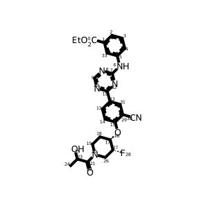 CCOC(=O)c1cccc(Nc2ncnc(-c3ccc(O[C@H]4CCN(C(=O)C(C)O)C[C@H]4F)c(C#N)c3)n2)c1